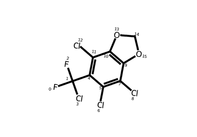 FC(F)(Cl)c1c(Cl)c(Cl)c2c(c1Cl)OCO2